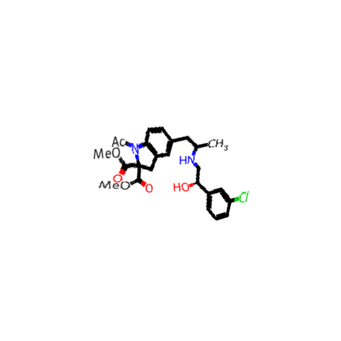 COC(=O)C1(C(=O)OC)Cc2cc(CC(C)NC[C@H](O)c3cccc(Cl)c3)ccc2N1C(C)=O